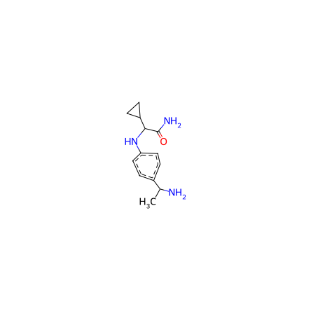 CC(N)c1ccc(NC(C(N)=O)C2CC2)cc1